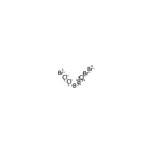 [B+3].[B+3].[Br-].[Br-].[Br-].[Cl-].[Cl-].[Cl-]